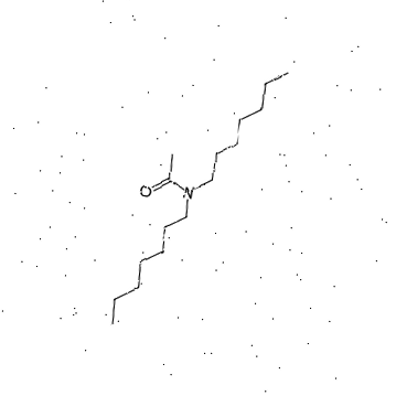 CCCCCCCN(CCCCCCC)C(C)=O